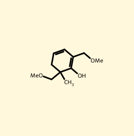 COCC1=C(O)C(C)(COC)CC=C1